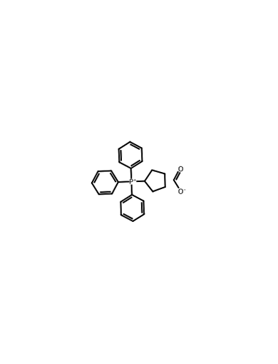 O=C[O-].c1ccc([P+](c2ccccc2)(c2ccccc2)C2CCCC2)cc1